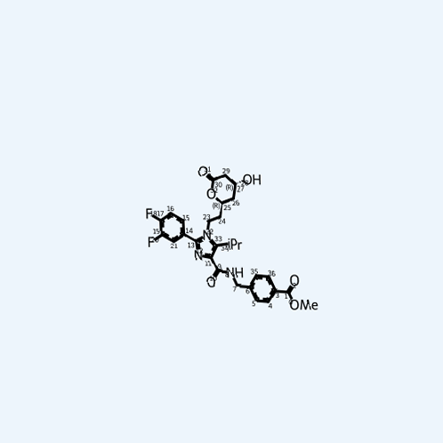 COC(=O)c1ccc(CNC(=O)c2nc(-c3ccc(F)c(F)c3)n(CC[C@@H]3C[C@@H](O)CC(=O)O3)c2C(C)C)cc1